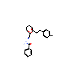 CCN(N=CC1C2CCC(O2)C1CCc1ccc(C(=O)O)cc1)C(=O)c1ccccc1